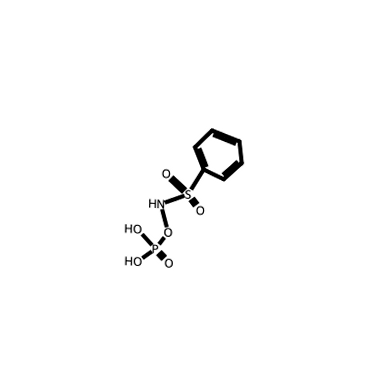 O=P(O)(O)ONS(=O)(=O)c1ccccc1